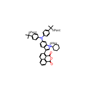 CCCCCC[N+]1(C2CCCCC2)C=C(c2ccc3cccc4c3c2C(=O)OC4=O)c2ccc(N(c3ccc(C(C)(C)CCCCC)cc3)c3ccc(C(C)(C)CCCCC)cc3)cc21